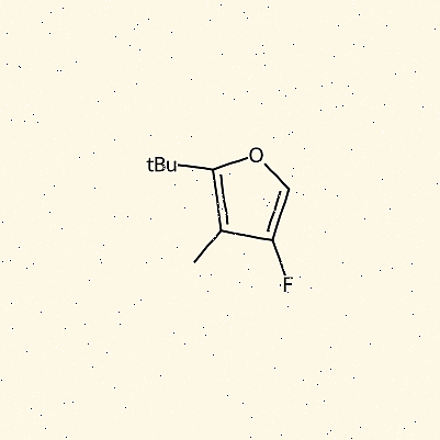 Cc1c(F)coc1C(C)(C)C